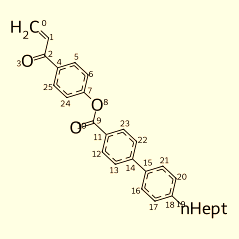 C=CC(=O)c1ccc(OC(=O)c2ccc(-c3ccc(CCCCCCC)cc3)cc2)cc1